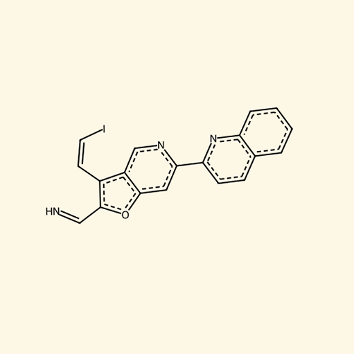 N=Cc1oc2cc(-c3ccc4ccccc4n3)ncc2c1/C=C\I